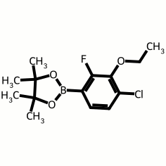 CCOc1c(Cl)ccc(B2OC(C)(C)C(C)(C)O2)c1F